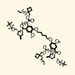 C=C1C[C@@H](CO[Si](C)(C)C(C)(C)C)N(C(=O)c2cc(OC)c(OCCCCCOc3cc(NC(=O)OCC4(SSCC)CCC4)c(C(=O)N4CC(=C)C[C@H]4CO[Si](C)(C)C(C)(C)C)cc3OC)cc2NC(=O)OCC2(SSCC)CCC2)C1